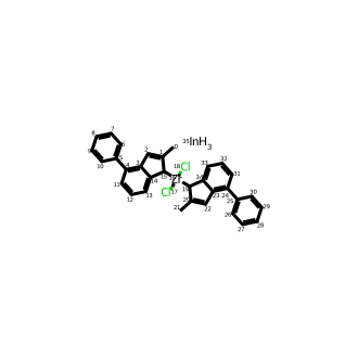 CC1=Cc2c(-c3ccccc3)cccc2[CH]1[Zr]([Cl])([Cl])[CH]1C(C)=Cc2c(-c3ccccc3)cccc21.[InH3]